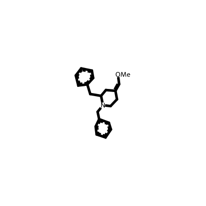 CO/C=C1/CCN(Cc2ccccc2)C(Cc2ccccc2)C1